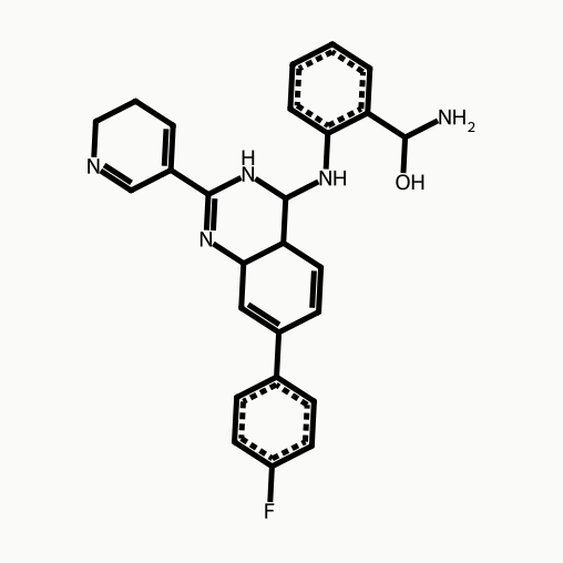 NC(O)c1ccccc1NC1NC(C2=CCCN=C2)=NC2C=C(c3ccc(F)cc3)C=CC21